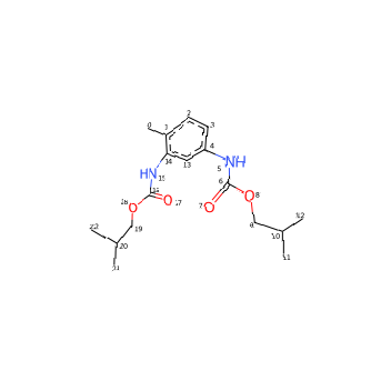 Cc1ccc(NC(=O)OCC(C)C)cc1NC(=O)OCC(C)C